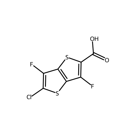 O=C(O)c1sc2c(F)c(Cl)sc2c1F